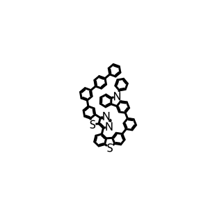 c1ccc(-c2ccc(-c3cccc(-c4ccc5sc6c(-c7cccc8sc9ccc(-c%10cccc(-c%11ccc%12c(c%11)c%11ccccc%11n%12-c%11ccccc%11)c%10)cc9c78)ncnc6c5c4)c3)cc2)cc1